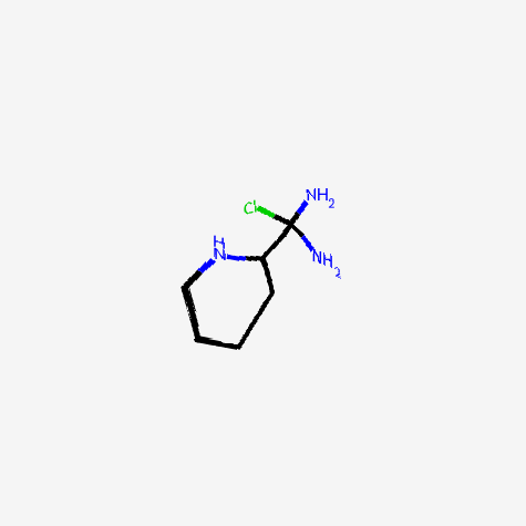 NC(N)(Cl)C1CCCCN1